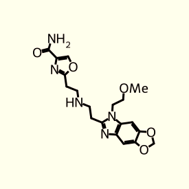 COCCn1c(CCNCCc2nc(C(N)=O)co2)nc2cc3c(cc21)OCO3